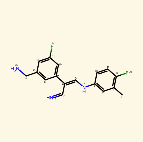 Cc1cc(N/C=C(\C=N)c2cc(F)cc(CN)c2)ccc1F